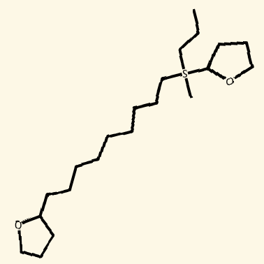 CCCS(C)(CCCCCCCCCC1CCCO1)C1CCCO1